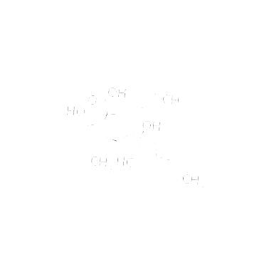 C#C[C@](O)(C=C[C@@H]1[C@H](C(CCCCC)C(=O)O)[C@@H](O)C[C@H]1C)CCCCC